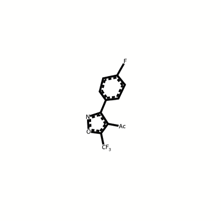 CC(=O)c1c(-c2ccc(F)cc2)noc1C(F)(F)F